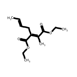 CC=CCC(C(=O)OCC)=C(C)C(=O)OCC